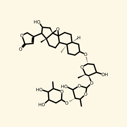 CC1OC(O[C@H]2C(C)OC(O[C@@H]3C(O)C[C@@H](OC4CC[C@@]5(C)C6CC[C@]7(C)C(C8=CC(=O)OC8)C(O)C[C@]78OC68CC[C@H]5C4)O[C@@H]3C)OC2O)CC(O)C1O